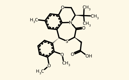 COc1cccc([C@H]2S[C@H](CC(=O)O)C(=O)N3c4c(cc(C)cc42)OC[C@H]3C(C)(C)C)c1OC